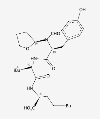 CC[C@H](C)[C@H](NC(=O)[C@H](Cc1ccc(O)cc1)N(C=O)[C@@H]1CCCO1)C(=O)N[C@@H](CCC(C)(C)C)C(=O)O